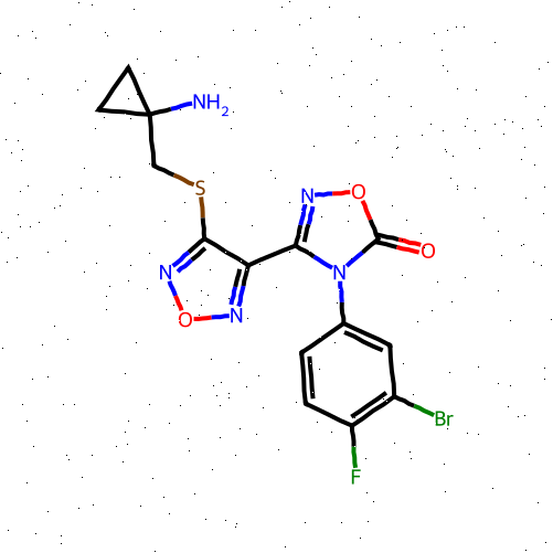 NC1(CSc2nonc2-c2noc(=O)n2-c2ccc(F)c(Br)c2)CC1